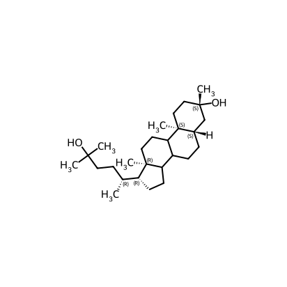 C[C@H](CCC(C)(C)O)[C@H]1CCC2C3CC[C@H]4C[C@@](C)(O)CC[C@]4(C)C3CC[C@@]21C